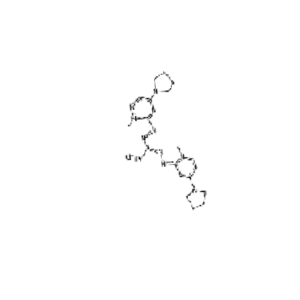 CC(C)C(N=Nc1cc(N2CCCC2)cc[n+]1C)=NN=c1cc(N2CCCC2)ccn1C.[Cl-]